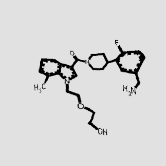 Cc1cccc2c(C(=O)N3CCC(c4cc(CN)ccc4F)CC3)cn(CCOCCO)c12